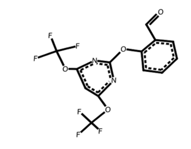 O=Cc1ccccc1Oc1nc(OC(F)(F)F)cc(OC(F)(F)F)n1